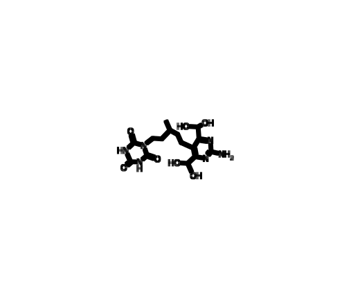 CC(CCc1c(C(O)O)nc(N)nc1C(O)O)CCn1c(=O)[nH]c(=O)[nH]c1=O